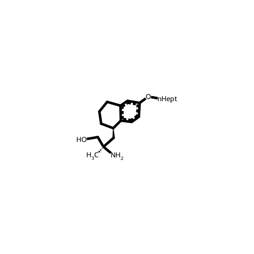 CCCCCCCOc1ccc2c(c1)CCC[C@@H]2C[C@@](C)(N)CO